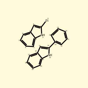 CCc1cc2ccccc2[nH]1.c1ccc(-c2cc3ccccc3[nH]2)cc1